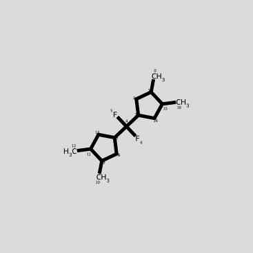 CC1CC(C(F)(F)C2CC(C)C(C)C2)CC1C